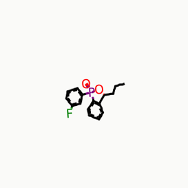 CCCC1OP(=O)(c2cccc(F)c2)c2ccccc21